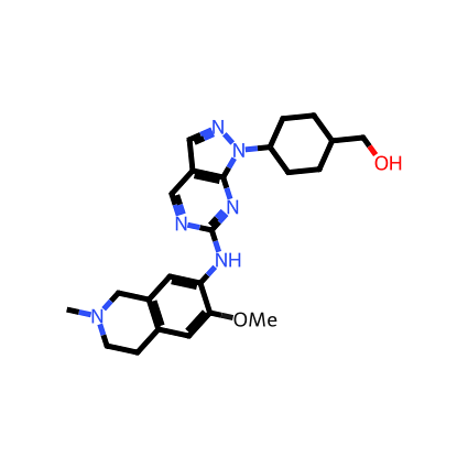 COc1cc2c(cc1Nc1ncc3cnn(C4CCC(CO)CC4)c3n1)CN(C)CC2